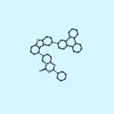 O=c1nc(-c2ccccc2)nc2ccc(-c3cccc4oc5ccc(-c6ccc7c8ccccc8c8ccccc8c7c6)cc5c34)cn12